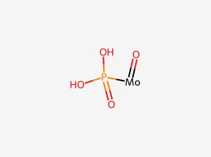 [O]=[Mo][P](=O)(O)O